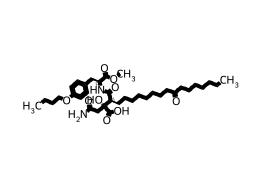 CCCCCCCC(=O)CCCCCCCC[C@H](C(=O)N[C@@H](Cc1ccc(OCCCC)cc1)C(=O)OC)[C@@](O)(CC(N)=O)C(=O)O